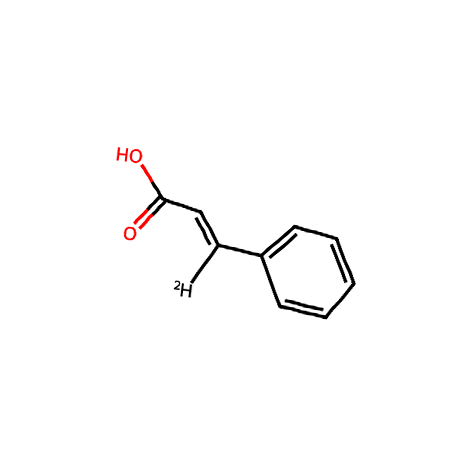 [2H]/C(=C\C(=O)O)c1ccccc1